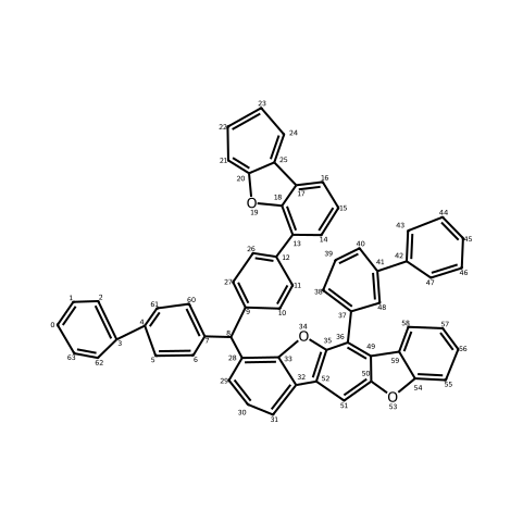 c1ccc(-c2ccc(C(c3ccc(-c4cccc5c4oc4ccccc45)cc3)c3cccc4c3oc3c(-c5cccc(-c6ccccc6)c5)c5c(cc34)oc3ccccc35)cc2)cc1